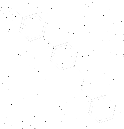 Brc1cnc(-c2ccc(OCc3ccccc3)cc2)nc1